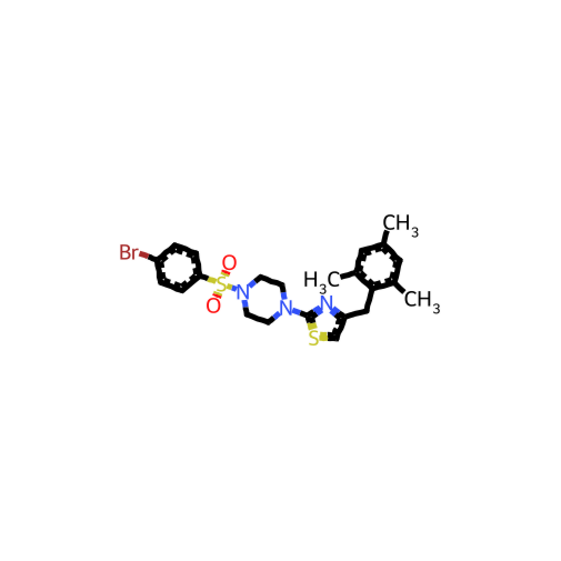 Cc1cc(C)c(Cc2csc(N3CCN(S(=O)(=O)c4ccc(Br)cc4)CC3)n2)c(C)c1